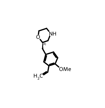 C=Cc1cc(C[C@@H]2CNCCO2)ccc1OC